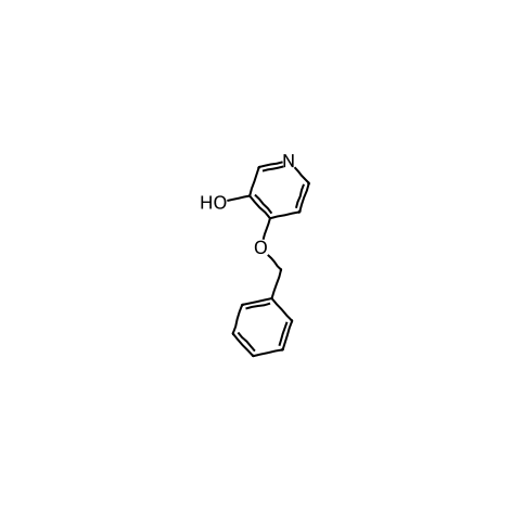 Oc1cnccc1OCc1ccccc1